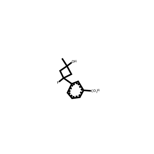 CC1(O)CC(F)(c2cccc(C(=O)O)c2)C1